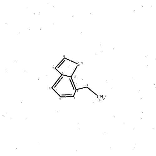 [CH2]Cc1cccc2ccsc12